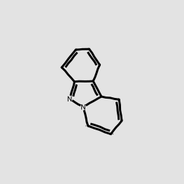 [c]1[c]n2nc3ccccc3c2cc1